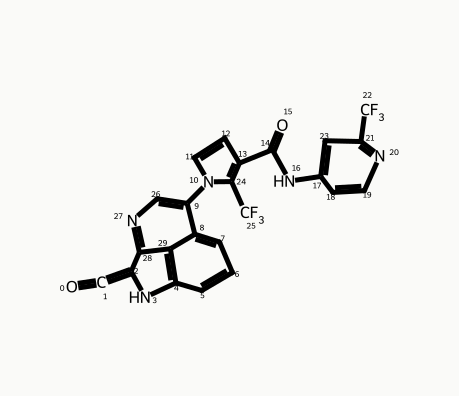 O=C=c1[nH]c2cccc3c(-n4ccc(C(=O)Nc5ccnc(C(F)(F)F)c5)c4C(F)(F)F)cnc1c23